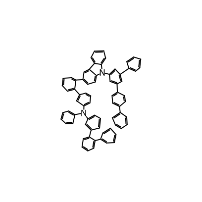 c1ccc(-c2ccc(-c3cc(-c4ccccc4)cc(-n4c5ccccc5c5cc(-c6ccccc6-c6cccc(N(c7ccccc7)c7cccc(-c8ccccc8-c8ccccc8)c7)c6)ccc54)c3)cc2)cc1